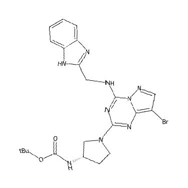 CC(C)(C)OC(=O)N[C@H]1CCN(c2nc(NCc3nc4ccccc4[nH]3)n3ncc(Br)c3n2)C1